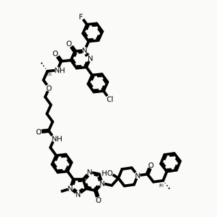 C[C@H](CC(=O)N1CCC(O)(Cn2cnc3c(-c4ccc(CNC(=O)CCCCOC[C@H](C)NC(=O)c5cc(-c6ccc(Cl)cc6)nn(-c6cccc(F)c6)c5=O)cc4)n(C)nc3c2=O)CC1)c1ccccc1